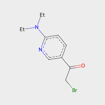 CCN(CC)c1ccc(C(=O)CBr)cn1